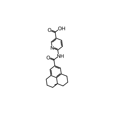 CC12CCCc3cc(C(=O)Nc4ccc(C(=O)O)cn4)cc(c31)CCC2